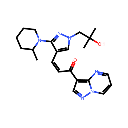 CC1CCCCN1c1nn(CC(C)(C)O)cc1/C=C\C(=O)c1cnn2cccnc12